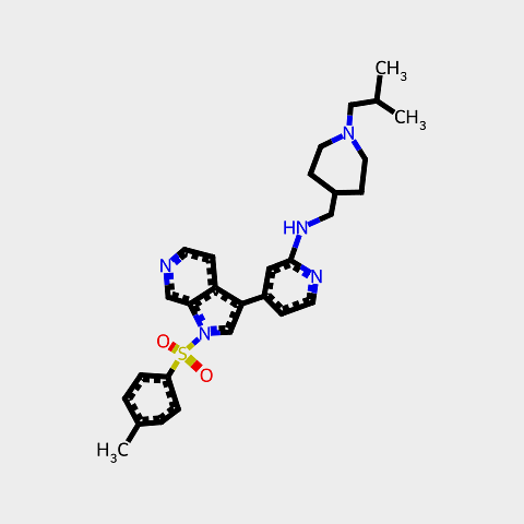 Cc1ccc(S(=O)(=O)n2cc(-c3ccnc(NCC4CCN(CC(C)C)CC4)c3)c3ccncc32)cc1